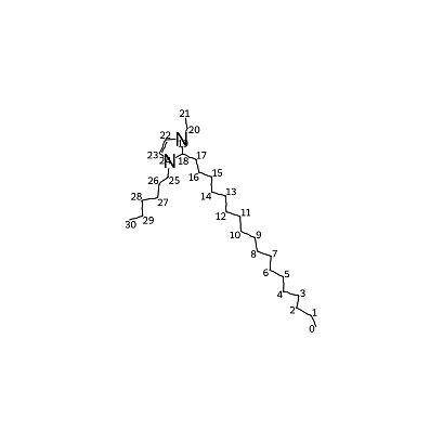 CCCCCCCCCCCCCCCCCCC1N(CC)C=CN1CCCCCC